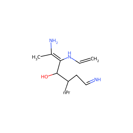 C=CN/C(=C(/C)N)C(O)C(CC=N)CCC